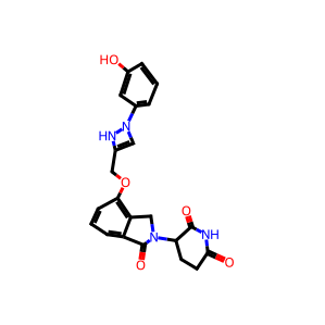 O=C1CCC(N2Cc3c(OCc4cn(-c5cccc(O)c5)[nH]4)cccc3C2=O)C(=O)N1